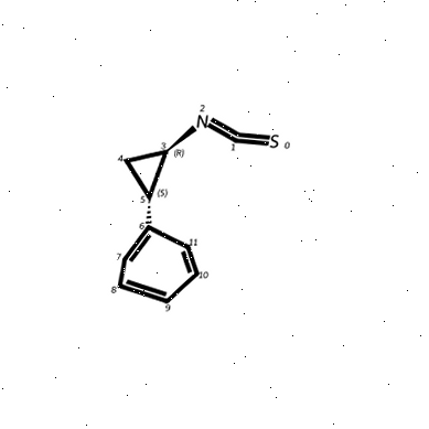 S=C=N[C@@H]1C[C@H]1c1ccccc1